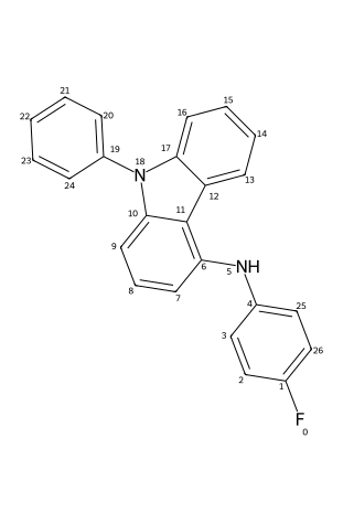 Fc1ccc(Nc2cccc3c2c2ccccc2n3-c2ccccc2)cc1